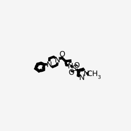 Cn1cc(S(=O)(=O)N2CC(C(=O)N3CCN(c4ccccc4)CC3)C2)cn1